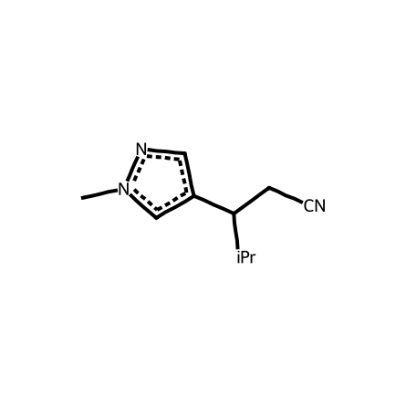 CC(C)C(CC#N)c1cnn(C)c1